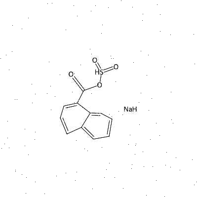 O=C(O[SH](=O)=O)c1cccc2ccccc12.[NaH]